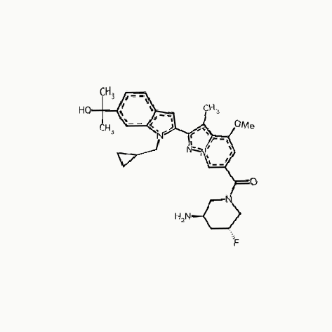 COc1cc(C(=O)N2C[C@H](N)C[C@@H](F)C2)cn2nc(-c3cc4ccc(C(C)(C)O)cc4n3CC3CC3)c(C)c12